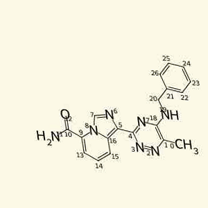 Cc1nnc(-c2ncn3c(C(N)=O)cccc23)nc1NCc1ccccc1